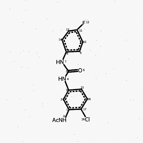 CC(=O)Nc1cc(NC(=O)Nc2ccc(F)cc2)ccc1Cl